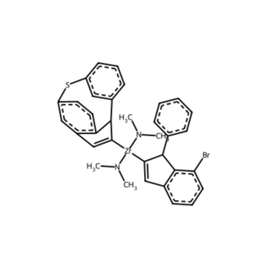 C[N](C)[Zr]([C]1=Cc2cc3ccc2C1c1cccc(c1)S3)([C]1=Cc2cccc(Br)c2C1c1ccccc1)[N](C)C